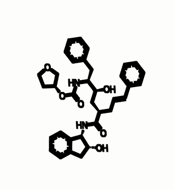 O=C(N[C@@H](Cc1ccccc1)[C@@H](O)C[C@@H](CC=Cc1ccccc1)C(=O)N[C@H]1c2ccccc2C[C@H]1O)O[C@H]1CCOC1